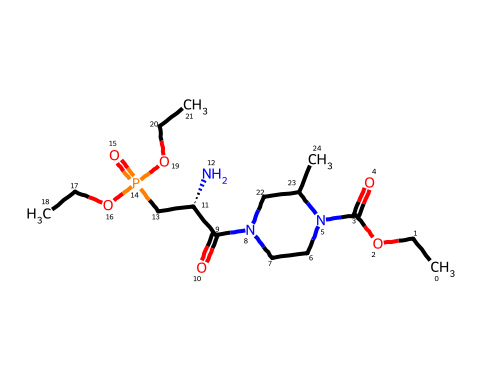 CCOC(=O)N1CCN(C(=O)[C@@H](N)CP(=O)(OCC)OCC)CC1C